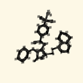 Cc1nn(CCc2cccc3ccccc23)c(OC(=O)c2ccc(S(=O)(=O)C(F)(F)F)cc2)c1Cc1ccccc1